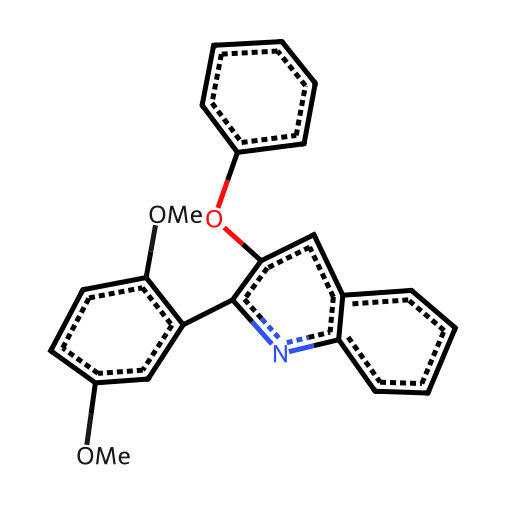 COc1ccc(OC)c(-c2nc3ccccc3cc2Oc2ccccc2)c1